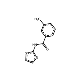 [CH2]c1cccc(C(=O)Nc2nccs2)c1